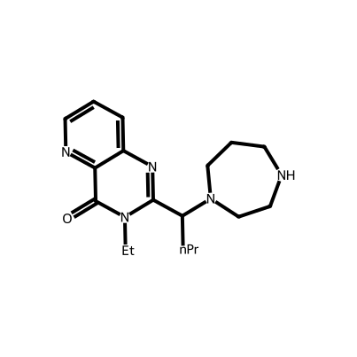 CCCC(c1nc2cccnc2c(=O)n1CC)N1CCCNCC1